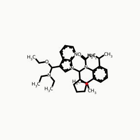 CCOC(c1cn(C(C2CCCC2)N(C(N)=O)c2c(C(C)C)cccc2C(C)C)c2ncccc12)N(CC)CC